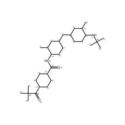 CC1CC(CC2CCC(NC(C)(C)C)C(C)C2)CCC1NC(=O)C1CCC(C(=O)C(C)(C)C)CC1